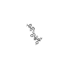 Cc1ccc(-n2nc(C(C)(C)C)cc2NC(=O)Nc2ccc(OCc3ccnc(Nc4cncc(C(C)C)n4)c3)c3ccccc23)cc1